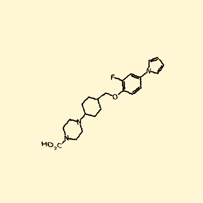 O=C(O)N1CCN(C2CCC(COc3ccc(-n4cccc4)cc3F)CC2)CC1